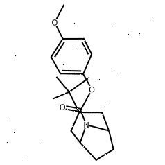 COc1ccc(OC(=O)N2C3CCC2CC(C(C)(C)C)C3)cc1